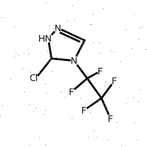 FC(F)(F)C(F)(F)N1C=NNC1Cl